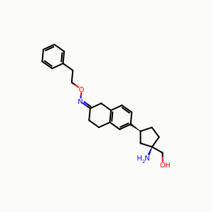 N[C@]1(CO)CC[C@H](c2ccc3c(c2)CC/C(=N/OCCc2ccccc2)C3)C1